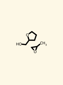 CC1CO1.OCC1CCCO1